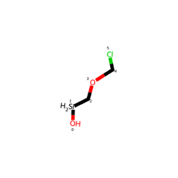 O[SiH2]COCCl